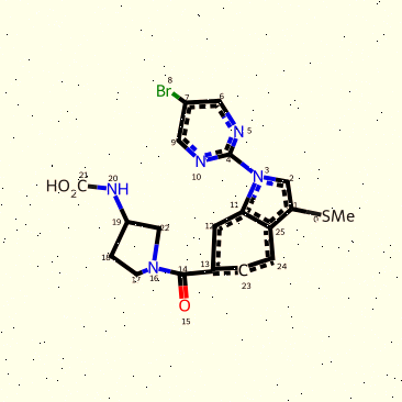 CSc1cn(-c2ncc(Br)cn2)c2cc(C(=O)N3CCC(NC(=O)O)C3)ccc12